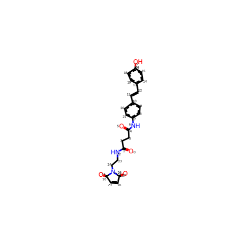 O=C(CCC(=O)Nc1ccc(/C=C/c2ccc(O)cc2)cc1)NCCN1C(=O)C=CC1=O